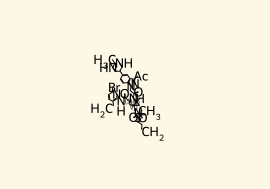 C=CCCS(=O)(=O)N(C)C[C@@]12C[C@@H](C(=O)Nc3nc(Br)ccc3C=C)N(C(=O)Cn3nc(C(C)=O)c4cc(C5CNC(C)NC5)ccc43)[C@@H]1C2